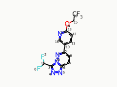 FC(F)c1nnc2ccc(-c3ccc(OCC(F)(F)F)nc3)nn12